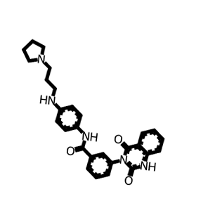 O=C(Nc1ccc(NCCCN2CCCC2)cc1)c1cccc(-n2c(=O)[nH]c3ccccc3c2=O)c1